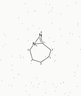 C1CCC2=NN2CC1